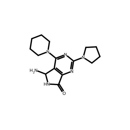 NC1NC(=O)c2nc(N3CCCC3)nc(N3CCCCC3)c21